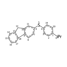 CC(C)c1ccc(Sc2ccc3c(c2)Cc2ccccc2-3)cc1